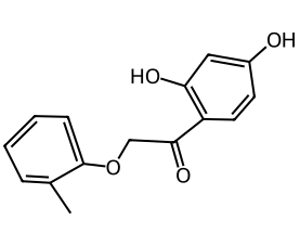 Cc1ccccc1OCC(=O)c1ccc(O)cc1O